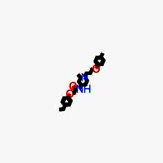 CCc1ccc(OCC(=O)NC2CCN(CCCOc3ccc(C)cc3)C(C)C2)cc1